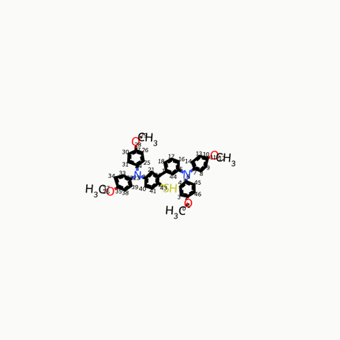 COc1ccc(N(c2ccc(OC)cc2)c2cccc(-c3cc(N(c4ccc(OC)cc4)c4ccc(OC)cc4)ccc3S)c2)cc1